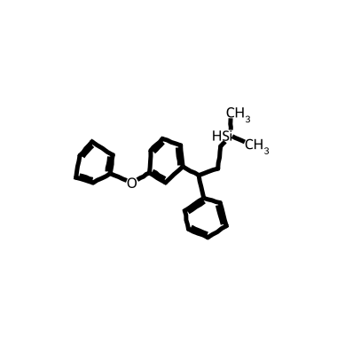 C[SiH](C)CCC(c1ccccc1)c1cccc(Oc2ccccc2)c1